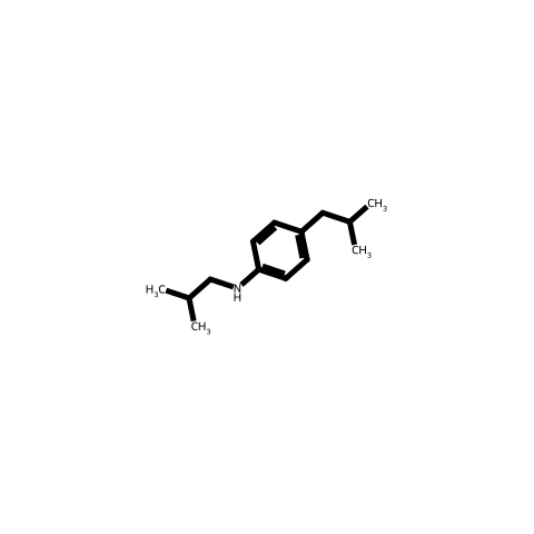 CC(C)CNc1ccc(CC(C)C)cc1